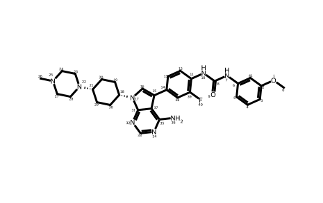 COc1cccc(NC(=O)Nc2ccc(-c3cn([C@H]4CC[C@@H](N5CCN(C)CC5)CC4)c4ncnc(N)c34)cc2F)c1